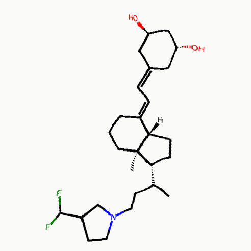 CC(CCN1CCC(C(F)F)C1)[C@H]1CC[C@H]2C(=CC=C3C[C@@H](O)C[C@H](O)C3)CCC[C@]12C